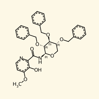 COc1ccnc(C(=O)N[C@@H]2OC[C@@H](OCc3ccccc3)[C@H](OCc3ccccc3)[C@H]2OCc2ccccc2)c1O